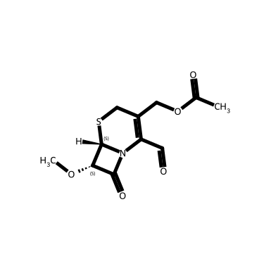 CO[C@H]1C(=O)N2C(C=O)=C(COC(C)=O)CS[C@@H]12